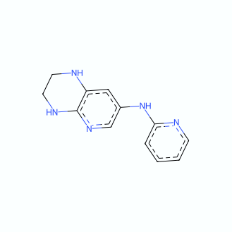 c1ccc(Nc2cnc3c(c2)NCCN3)nc1